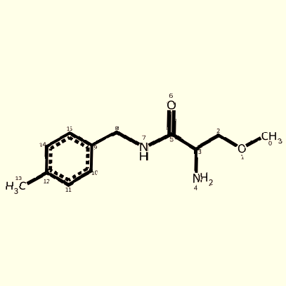 COCC(N)C(=O)NCc1ccc(C)cc1